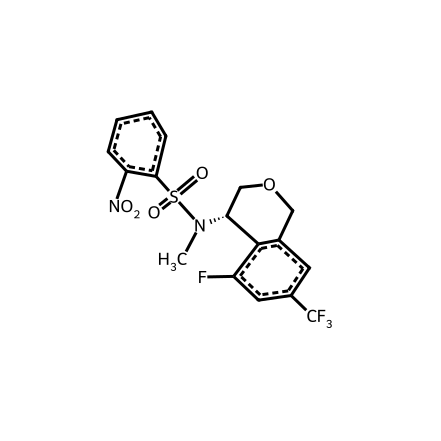 CN([C@@H]1COCc2cc(C(F)(F)F)cc(F)c21)S(=O)(=O)c1ccccc1[N+](=O)[O-]